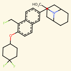 O=C(O)C1CC2CCCC(C1)N2Cc1ccc2c(CF)c(OC3CCC(F)(F)CC3)ccc2c1